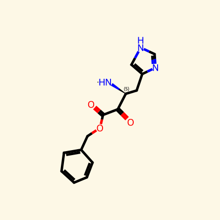 [NH][C@@H](Cc1c[nH]cn1)C(=O)C(=O)OCc1ccccc1